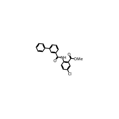 COC(=O)c1cc(Cl)ccc1NC(=O)c1cccc(-c2ccccc2)c1